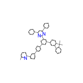 Cc1cccc(-c2cccc(-c3ccc(-c4cc(-c5ccc6c(c5)-c5ccccc5C6(C)C)cc(-c5nc(-c6ccccc6)cc(-c6ccccc6)n5)c4)cc3)c2)n1